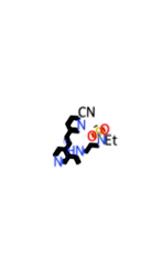 C=C(NCCCN(CC)S(C)(=O)=O)c1cnccc1/C=C/c1ccc(C#N)nc1